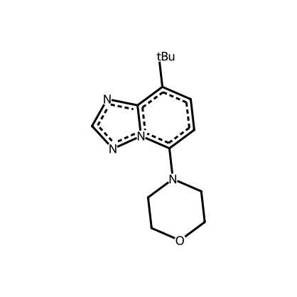 CC(C)(C)c1ccc(N2CCOCC2)n2ncnc12